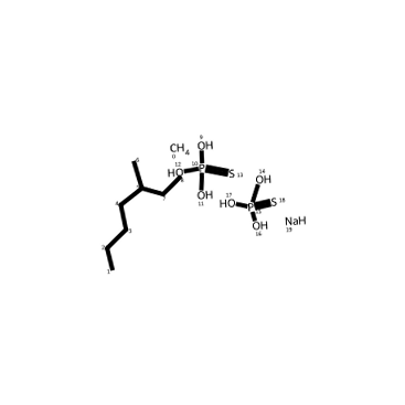 C.CCCCC(C)CC.OP(O)(O)=S.OP(O)(O)=S.[NaH]